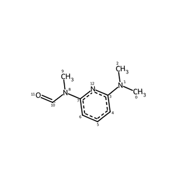 CN(C)c1cccc(N(C)[C]=O)n1